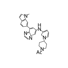 CC(=O)N1CCC(N2C=CC=C(Nc3cc(-c4ccc5ccn(C)c5c4)c4nccnc4c3)C2)CC1